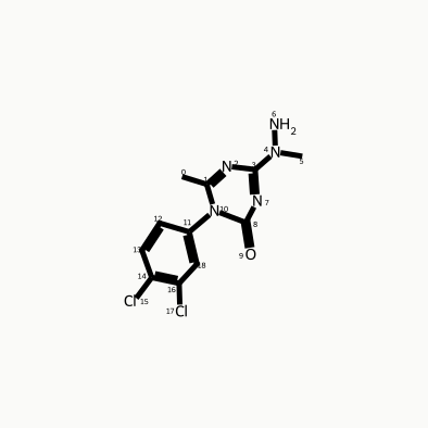 Cc1nc(N(C)N)nc(=O)n1-c1ccc(Cl)c(Cl)c1